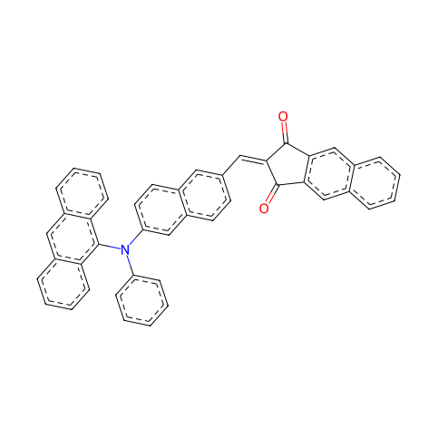 O=C1C(=Cc2ccc3cc(N(c4ccccc4)c4c5ccccc5cc5ccccc45)ccc3c2)C(=O)c2cc3ccccc3cc21